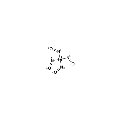 O=[N][Fe]([N]=O)([N]=O)[N]=O